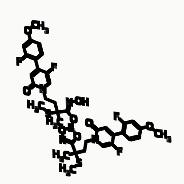 COc1ccc(-c2cc(=O)n(CCC(C)(SC)C3=NOB(O/C(=N\O)C(C)(CCn4cc(F)c(-c5ccc(OC)cc5F)cc4=O)SC)O3)cc2F)c(F)c1